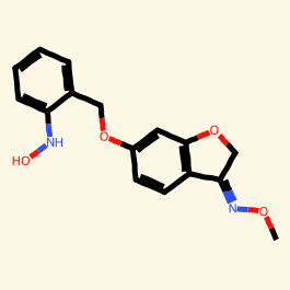 CON=C1COc2cc(OCc3ccccc3NO)ccc21